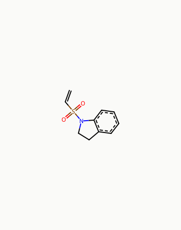 C=CS(=O)(=O)N1CCc2ccccc21